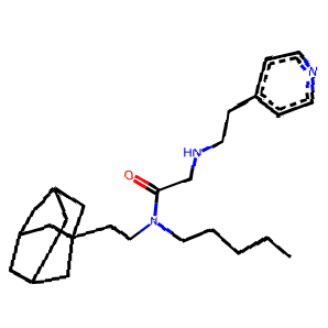 CCCCCN(CCC12CC3CC(CC(C3)C1)C2)C(=O)CNCCc1ccncc1